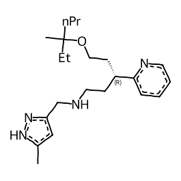 CCCC(C)(CC)OCC[C@@H](CCNCc1cc(C)[nH]n1)c1ccccn1